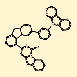 O=c1nc(-c2cccc3c2C2C=C(c4cccc(-n5c6ccccc6c6ccccc65)c4)C=CC2O3)nc2sc3ccccc3n12